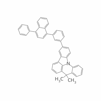 CC1(C)c2ccccc2-n2c3ccc(-c4cccc(-c5ccc(-c6ccccc6)c6ccccc56)c4)cc3c3cccc1c32